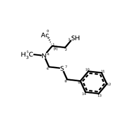 CC(=O)[C@H](CS)N(C)CSCc1ccccc1